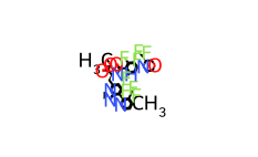 COC(=O)[C@H](Cc1ccc(-c2nccc(C)c2C(F)(F)F)c2nccn12)NC(=O)c1c(F)cc(N2CCOC[C@@H]2C(F)(F)F)cc1F